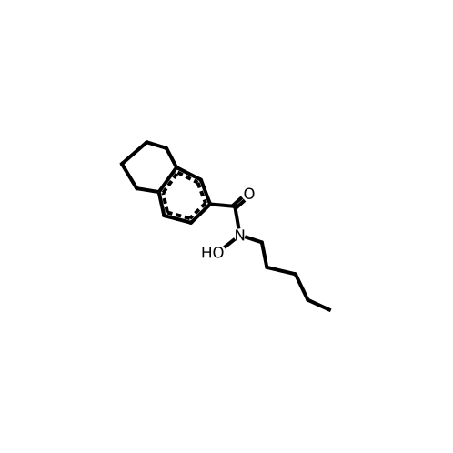 CCCCCN(O)C(=O)c1ccc2c(c1)CCCC2